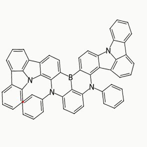 c1ccc(N2c3cccc4c3B(c3ccc5c(c32)c2cccc3c6ccccc6n5c32)c2ccc3c5cccc6c7ccccc7n(c3c2N4c2ccccc2)c65)cc1